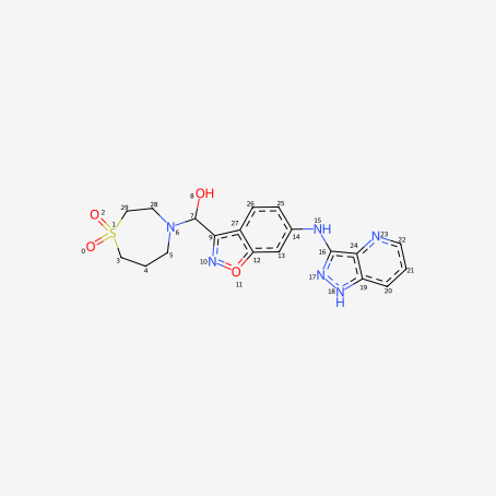 O=S1(=O)CCCN(C(O)c2noc3cc(Nc4n[nH]c5cccnc45)ccc23)CC1